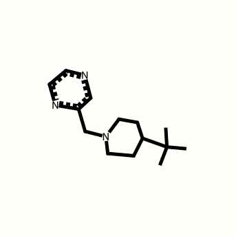 CC(C)(C)C1CCN(Cc2cnccn2)CC1